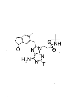 Cc1cc2c(cc1Cc1nc3c(N)nc(F)nc3n1CCS(=O)(=O)NC(C)(C)C)C(=O)CC2